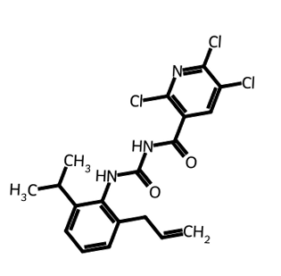 C=CCc1cccc(C(C)C)c1NC(=O)NC(=O)c1cc(Cl)c(Cl)nc1Cl